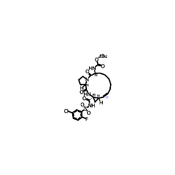 CC(C)(C)OC(=O)N[C@H]1CCCCC/C=C\[C@@H]2C[C@@]2(C(=O)NS(=O)(=O)c2cc(Cl)ccc2F)NC(=O)[C@@H]2CCCN2C1=O